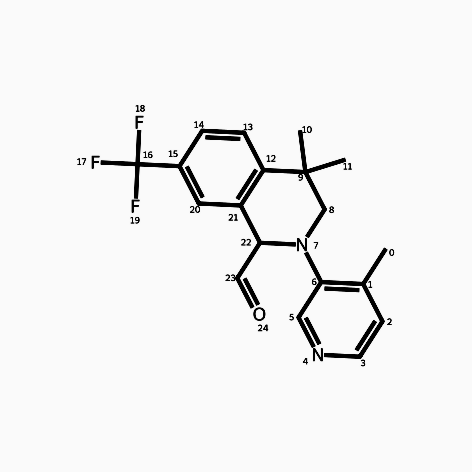 Cc1ccncc1N1CC(C)(C)c2ccc(C(F)(F)F)cc2C1C=O